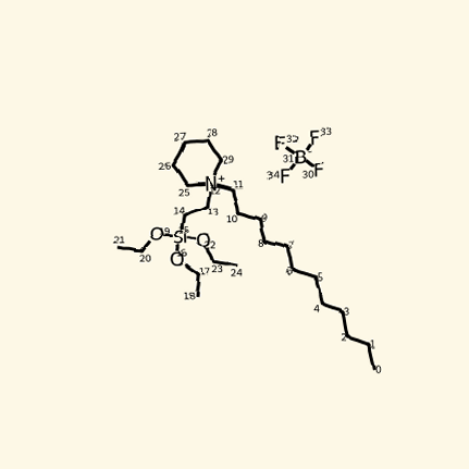 CCCCCCCCCCCC[N+]1(CC[Si](OCC)(OCC)OCC)CCCCC1.F[B-](F)(F)F